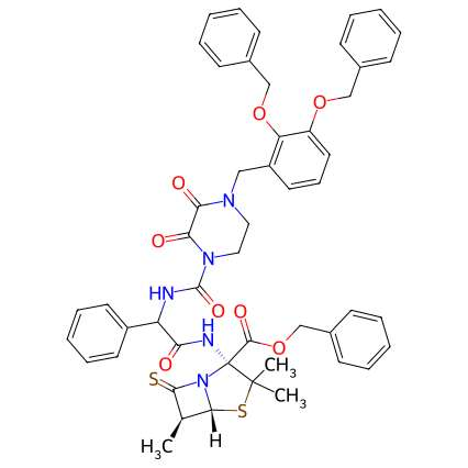 C[C@H]1C(=S)N2[C@@H]1SC(C)(C)[C@]2(NC(=O)C(NC(=O)N1CCN(Cc2cccc(OCc3ccccc3)c2OCc2ccccc2)C(=O)C1=O)c1ccccc1)C(=O)OCc1ccccc1